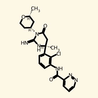 C[C@@H]1C[C@H](N2C(=N)N[C@](C)(c3cccc(NC(=O)c4cccnn4)c3Cl)CC2=O)CCO1